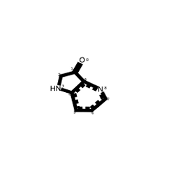 O=C1CNc2cccnc21